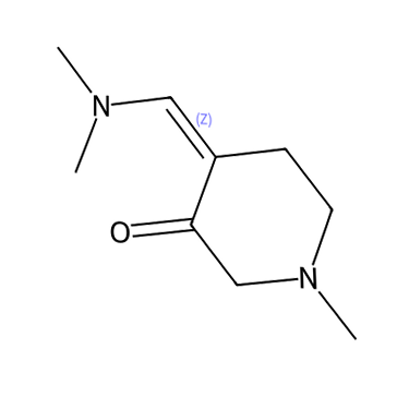 CN(C)/C=C1/CCN(C)CC1=O